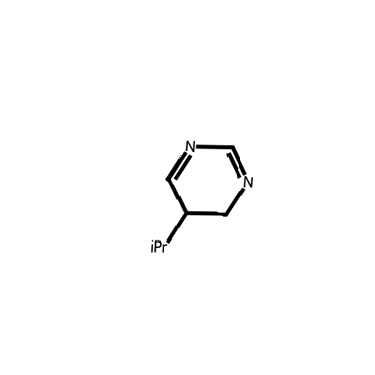 CC(C)C1C=NC=NC1